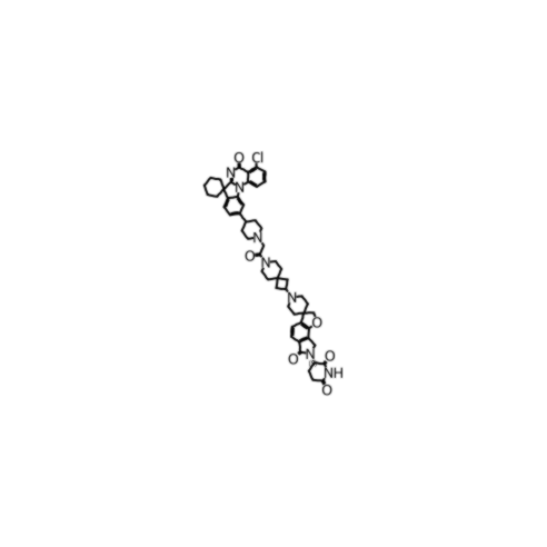 O=C1CC[C@H](N2Cc3c(ccc4c3OCC43CCN(C4CC5(CCN(C(=O)CN6CCC(c7ccc8c(c7)-n7c(nc(=O)c9c(Cl)cccc97)C87CCCCC7)CC6)CC5)C4)CC3)C2=O)C(=O)N1